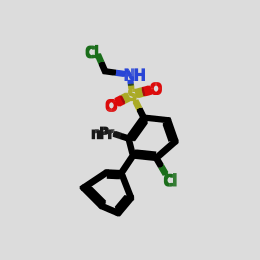 CCCc1c(S(=O)(=O)NCCl)ccc(Cl)c1-c1ccccc1